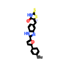 CC(C)(C)c1ccc(-c2ccc(-c3nc4cc(/C=C5/SC(=S)NC5=O)ccc4[nH]3)o2)cc1